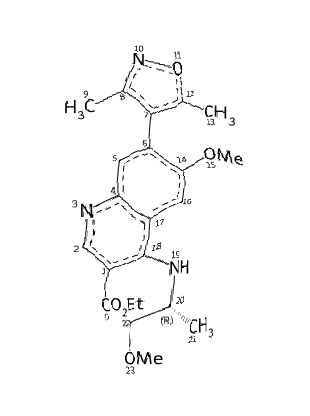 CCOC(=O)c1cnc2cc(-c3c(C)noc3C)c(OC)cc2c1N[C@H](C)COC